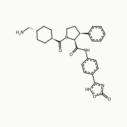 NC[C@H]1CC[C@H](C(=O)N2CC[C@@H](c3ccccc3)[C@H]2C(=O)Nc2ccc(-c3nc(=O)o[nH]3)cc2)CC1